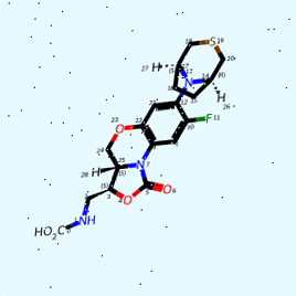 O=C(O)NC[C@@H]1OC(=O)N2c3cc(F)c(N4[C@@H]5CC[C@H]4CSC5)cc3OC[C@@H]12